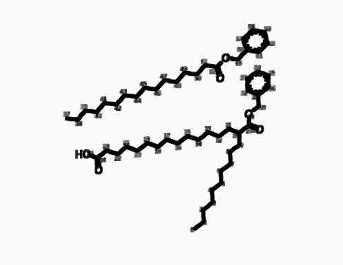 CCCCCCCCCCC(CCCCCCCCCCCCCC(=O)O)C(=O)OCc1ccccc1.CCCCCCCCCCCCCCCC(=O)OCc1ccccc1